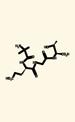 C[C@@H](O)[C@H](NC(=O)CNC(=O)[C@H](CCC(=O)O)NC(=O)C(C)(C)N)C(=O)O